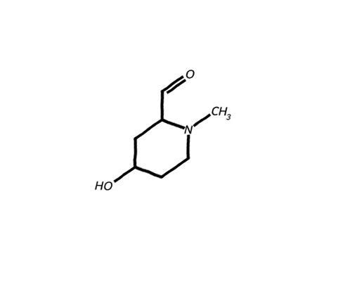 CN1CCC(O)CC1C=O